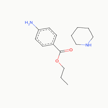 C1CCNCC1.CCCOC(=O)c1ccc(N)cc1